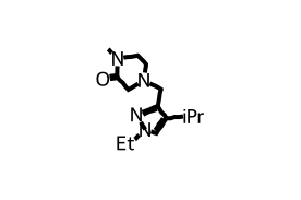 CCn1cc(C(C)C)c(CN2CCN(C)C(=O)C2)n1